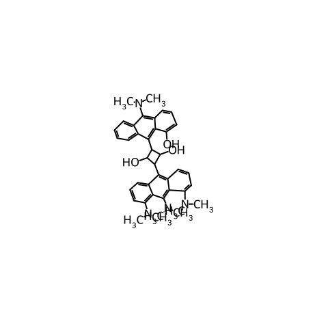 CN(C)c1c2ccccc2c(C2C(O)C(c3c4cccc(N(C)C)c4c(N(C)C)c4c(N(C)C)cccc34)C2O)c2c(O)cccc12